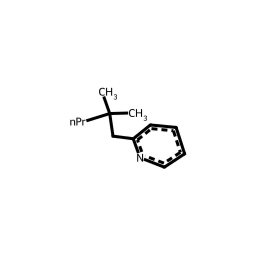 CCCC(C)(C)Cc1ccccn1